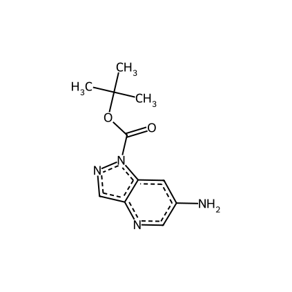 CC(C)(C)OC(=O)n1ncc2ncc(N)cc21